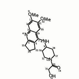 COc1cc2nc3c(c(NC4CCN(C(=O)CO)CC4)c2cc1OC)CCC3